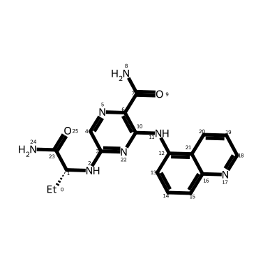 CC[C@@H](Nc1cnc(C(N)=O)c(Nc2cccc3ncccc23)n1)C(N)=O